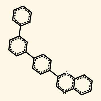 c1ccc(-c2cccc(-c3ccc(-c4cnc5ccccc5n4)cc3)c2)cc1